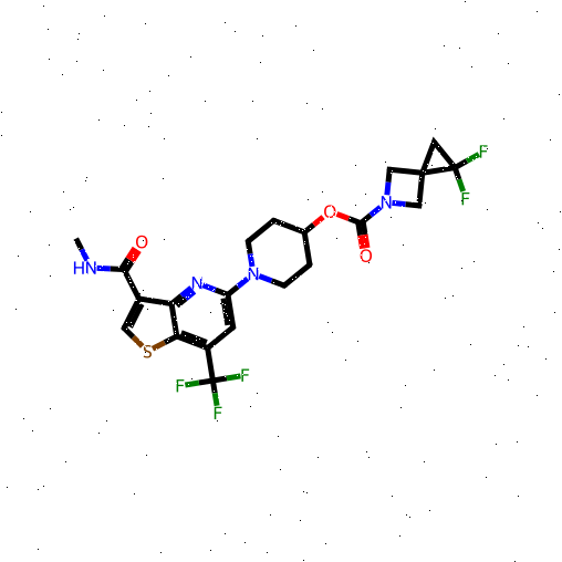 CNC(=O)c1csc2c(C(F)(F)F)cc(N3CCC(OC(=O)N4CC5(C4)CC5(F)F)CC3)nc12